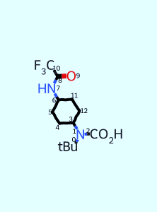 CC(C)(C)N(C(=O)O)C1CCC(NC(=O)C(F)(F)F)CC1